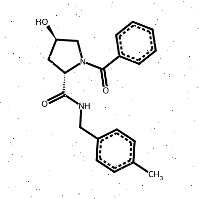 Cc1ccc(CNC(=O)[C@@H]2C[C@@H](O)CN2C(=O)c2ccccc2)cc1